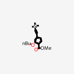 CCCCOc1cc(C#C[Si](C)(C)C)ccc1C(=O)OC